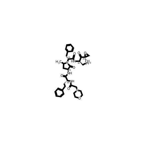 CC(C)C[C@@H](NC(=O)[C@@H](Cc1ccccc1)N1C(=O)[C@@H](NC(=O)[C@@H](CCc2ccccc2)NC(=O)CN2CCOCC2)CC1C)C(=O)[C@]1(C)CO1